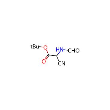 CC(C)(C)OC(=O)C(C#N)NC=O